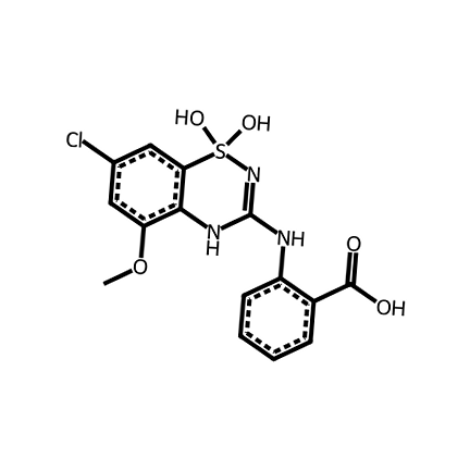 COc1cc(Cl)cc2c1NC(Nc1ccccc1C(=O)O)=NS2(O)O